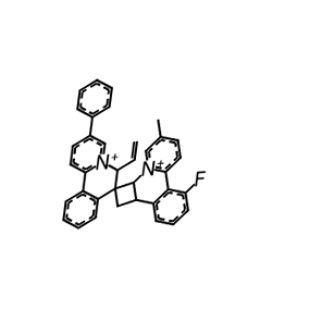 C=CC1[n+]2cc(-c3ccccc3)ccc2-c2ccccc2C12CC1c3cccc(F)c3-c3ccc(C)c[n+]3C12